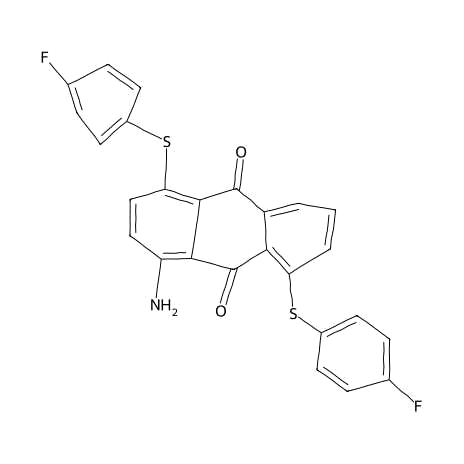 Nc1ccc(Sc2ccc(F)cc2)c2c1C(=O)c1c(Sc3ccc(F)cc3)cccc1C2=O